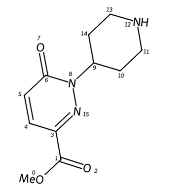 COC(=O)c1ccc(=O)n(C2CCNCC2)n1